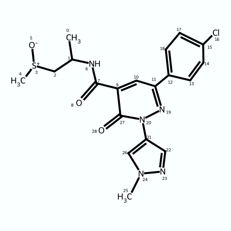 CC(C[S+](C)[O-])NC(=O)c1cc(-c2ccc(Cl)cc2)nn(-c2cnn(C)c2)c1=O